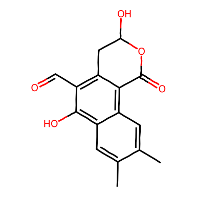 Cc1cc2c(O)c(C=O)c3c(c2cc1C)C(=O)OC(O)C3